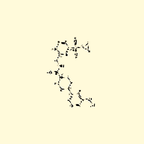 CCOc1cncc(N2CCN(C(=O)NCc3cc(S(=O)(=O)C4CC4)ccn3)CC2)n1